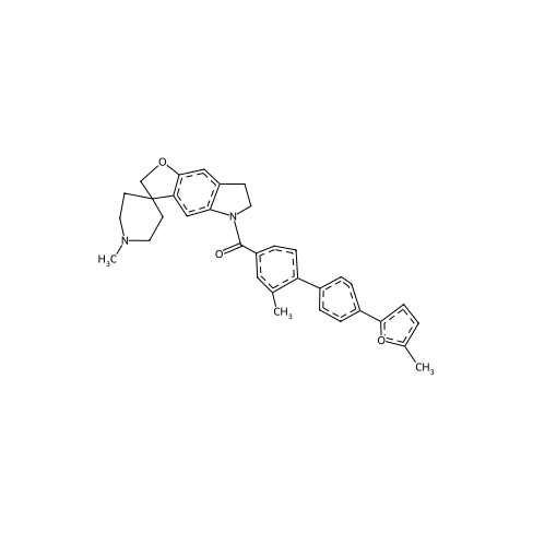 Cc1ccc(-c2ccc(-c3ccc(C(=O)N4CCc5cc6c(cc54)C4(CCN(C)CC4)CO6)cc3C)cc2)o1